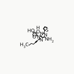 CCCCC#Cc1nc2c(N)nc(-c3cccs3)nc2n1[C@@H]1OC[C@@H](O)[C@H]1O